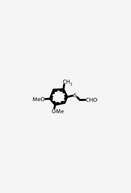 COc1cc(C)c(SC[C]=O)cc1OC